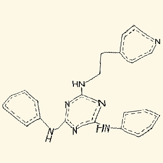 c1ccc(Nc2nc(NCCc3ccncc3)nc(Nc3ccccc3)n2)cc1